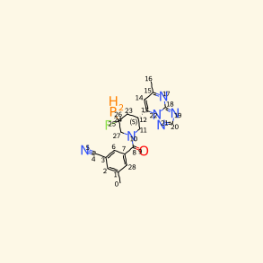 Cc1cc(C#N)cc(C(=O)N2C[C@@H](c3cc(C)nc4ncnn34)CC(F)(P)C2)c1